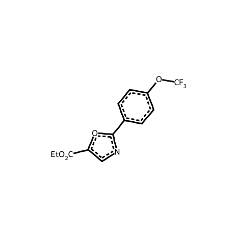 CCOC(=O)c1cnc(-c2ccc(OC(F)(F)F)cc2)o1